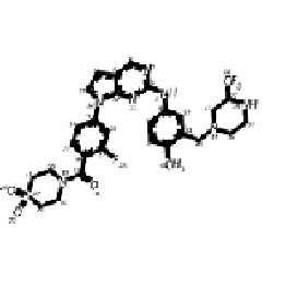 Cc1ccc(Nc2ncc3ccn(-c4ccc(C(=O)N5CCS(=O)(=O)CC5)c(F)c4)c3n2)cc1CN1CCNC(C(F)(F)F)C1